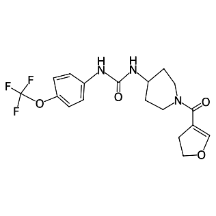 O=C(Nc1ccc(OC(F)(F)F)cc1)NC1CCN(C(=O)C2=COCC2)CC1